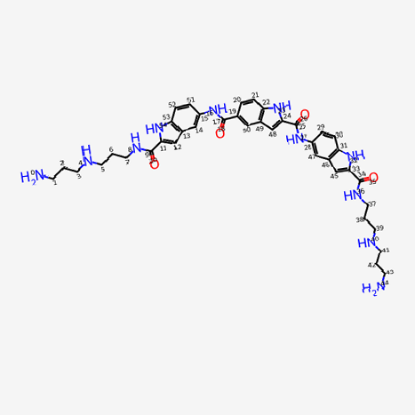 NCCCNCCCNC(=O)c1cc2cc(NC(=O)c3ccc4[nH]c(C(=O)Nc5ccc6[nH]c(C(=O)NCCCNCCCN)cc6c5)cc4c3)ccc2[nH]1